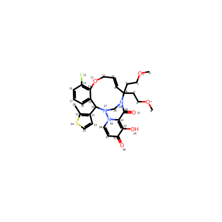 COCCC1(CCOC)/C=C/COc2c(F)cccc2C(c2ccsc2C)N2CN1C(=O)c1c(O)c(=O)ccn12